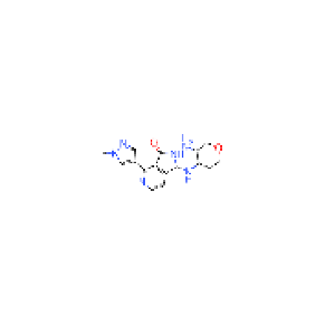 Cn1cc(-c2nccc3c2C(=O)NC3N[C@@H]2CCOC[C@@H]2N)cn1